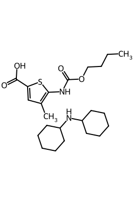 C1CCC(NC2CCCCC2)CC1.CCCCOC(=O)Nc1sc(C(=O)O)cc1C